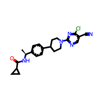 C[C@H](NC(=O)C1CC1)c1ccc(C2CCN(c3ncc(C#N)c(Cl)n3)CC2)cc1